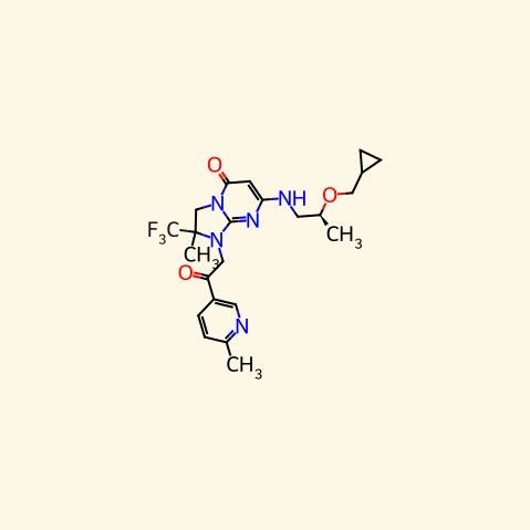 Cc1ccc(C(=O)CN2c3nc(NC[C@H](C)OCC4CC4)cc(=O)n3CC2(C)C(F)(F)F)cn1